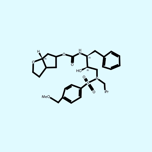 COCc1ccc(S(=O)(=O)N(CC(C)C)C[C@@H](O)[C@H](Cc2ccccc2)NC(=O)OC2CC3CCO[C@@H]3C2)cc1